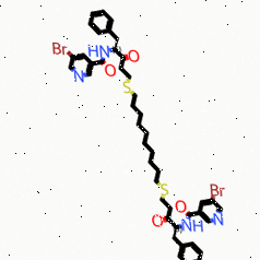 O=C(N[C@@H](Cc1ccccc1)C(=O)CCSCCCCCCCCCCSCCC(=O)[C@H](Cc1ccccc1)NC(=O)c1cncc(Br)c1)c1cncc(Br)c1